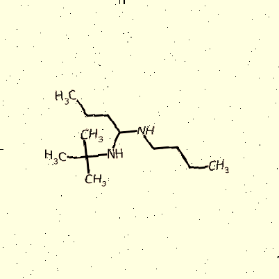 CCCCNC(CCC)NC(C)(C)C